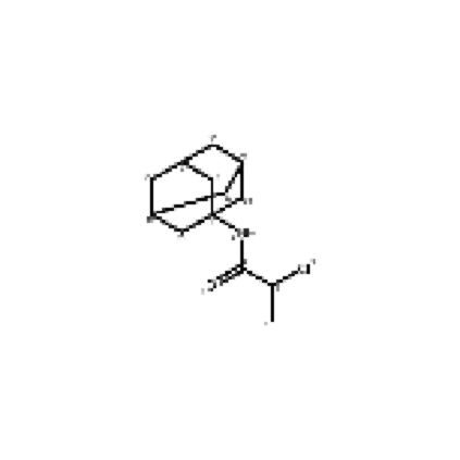 CC(Cl)C(=O)NC12CC3CC(CC(C3)C1)C2